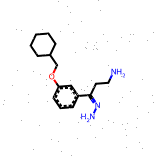 NCC/C(=N/N)c1cccc(OCC2CCCCC2)c1